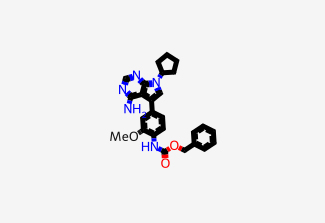 COc1cc(-c2cn(C3CCCC3)c3ncnc(N)c23)ccc1NC(=O)OCc1ccccc1